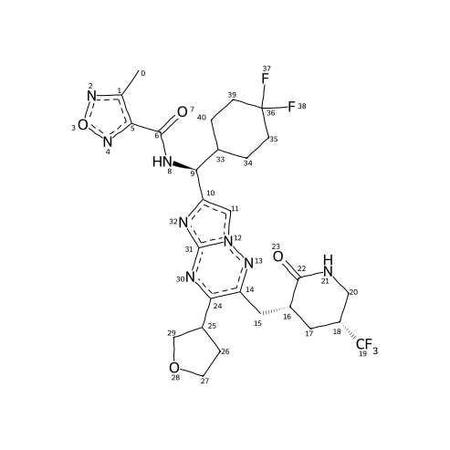 Cc1nonc1C(=O)N[C@H](c1cn2nc(C[C@H]3C[C@@H](C(F)(F)F)CNC3=O)c(C3CCOC3)nc2n1)C1CCC(F)(F)CC1